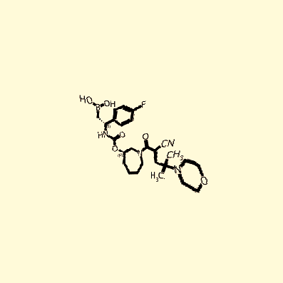 CC(C)(C=C(C#N)C(=O)N1CCCC[C@@H](OC(=O)N[C@H](CB(O)O)c2ccc(F)cc2)C1)N1CCOCC1